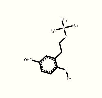 CCOc1ccc(C=O)cc1CCO[Si](C)(C)C(C)(C)C